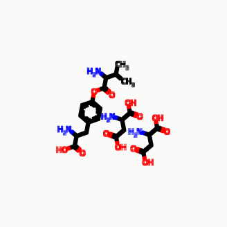 CC(C)C(N)C(=O)Oc1ccc(CC(N)C(=O)O)cc1.NC(CC(=O)O)C(=O)O.NC(CC(=O)O)C(=O)O